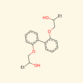 CCC(O)COc1ccccc1-c1ccccc1OCC(O)CC